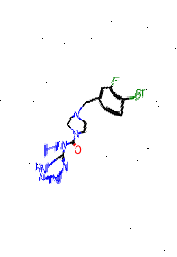 O=C(Nc1nnn[nH]1)N1CCN(Cc2ccc(Br)c(F)c2)CC1